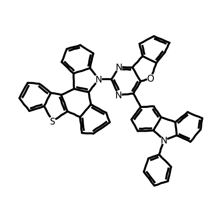 c1ccc(-n2c3ccccc3c3cc(-c4nc(-n5c6ccccc6c6c7c8ccccc8sc7c7ccccc7c65)nc5c4oc4ccccc45)ccc32)cc1